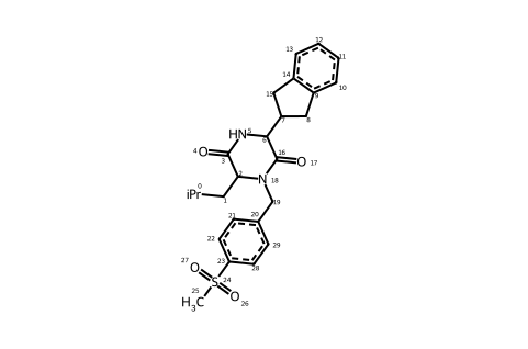 CC(C)CC1C(=O)NC(C2Cc3ccccc3C2)C(=O)N1Cc1ccc(S(C)(=O)=O)cc1